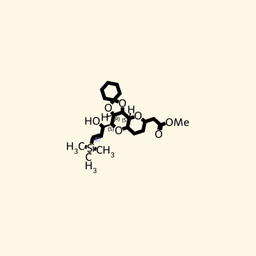 COC(=O)CC1CCC2O[C@@H](C(O)/C=C/[Si](C)(C)C)[C@H]3OC4(CCCCC4)OC3[C@H]2O1